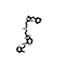 Fc1cccnc1CNc1nccc2oc(CCNCCc3ncc(Cc4ccccc4)[nH]3)nc12